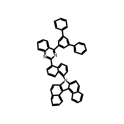 c1ccc(-c2cc(-c3ccccc3)cc(-c3nc(-c4cccc5c(-n6c7ccc8ccccc8c7c7c8ccccc8ccc76)cccc45)nc4ccccc34)c2)cc1